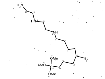 CCC(CCCCNCCNCCN)CCC[Si](OC)(OC)OC